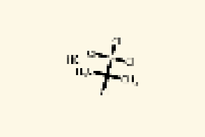 CC(C)(C)[Si](Cl)(Cl)Cl.Cl